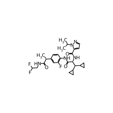 CC(C)n1nccc1C(=O)N[C@H](C(=O)Nc1ccc([C@H](C)C(=O)NCC(F)F)cc1F)C(C1CC1)C1CC1